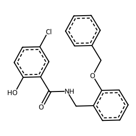 O=C(NCc1ccccc1OCc1ccccc1)c1cc(Cl)ccc1O